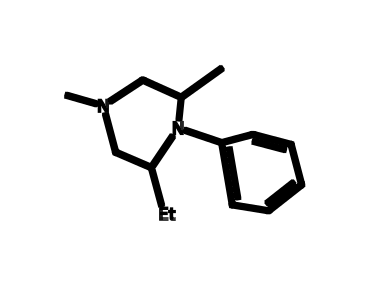 CCC1CN(C)CC(C)N1c1ccccc1